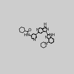 O=C(Nc1cncc(-c2cc3c(-c4nc5c(N6CCCCC6)cccc5[nH]4)n[nH]c3cn2)c1)C1CCCCC1